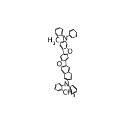 Cc1ccccc1N(c1ccccc1)c1ccc2cc3c(cc2c1)oc1cc2c(cc13)oc1cc(N(c3ccccc3)c3ccccc3C)ccc12